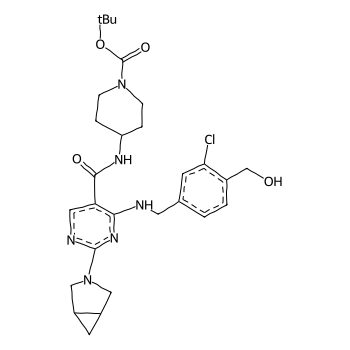 CC(C)(C)OC(=O)N1CCC(NC(=O)c2cnc(N3CC4CC4C3)nc2NCc2ccc(CO)c(Cl)c2)CC1